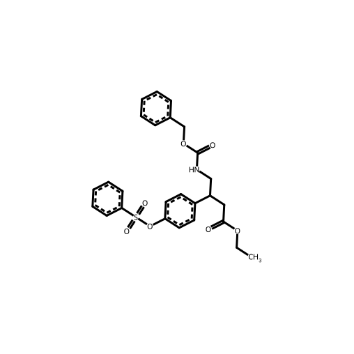 CCOC(=O)CC(CNC(=O)OCc1ccccc1)c1ccc(OS(=O)(=O)c2ccccc2)cc1